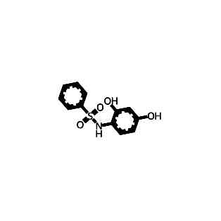 O=S(=O)(Nc1ccc(O)cc1O)c1ccccc1